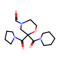 O=[C]N1CCOC(C(=O)N2CCCCC2)(C(=O)N2CCCC2)C1